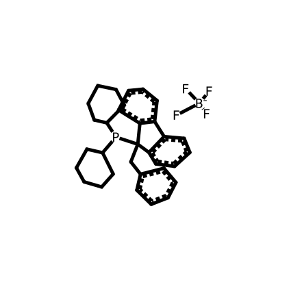 F[B-](F)(F)F.c1ccc(CC2(P(C3CCCCC3)C3CCCCC3)c3ccccc3-c3ccccc32)cc1